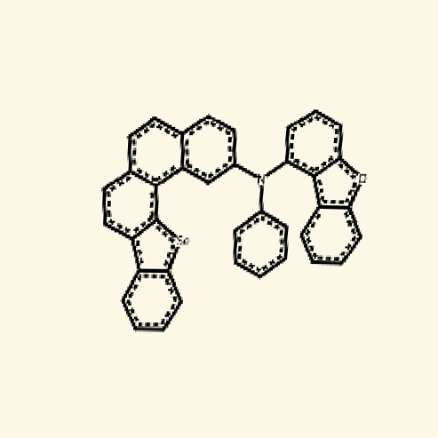 c1ccc(N(c2ccc3ccc4ccc5c6ccccc6[se]c5c4c3c2)c2cccc3oc4ccccc4c23)cc1